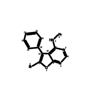 CC(C)Nc1ncnc2oc(Br)c(-c3ccccc3)c12